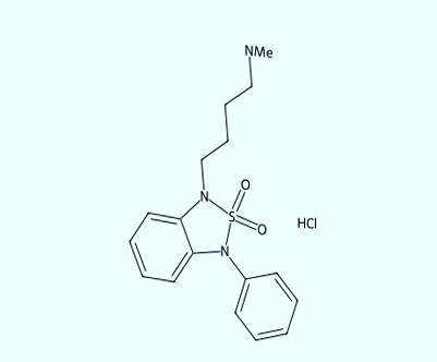 CNCCCCN1c2ccccc2N(c2ccccc2)S1(=O)=O.Cl